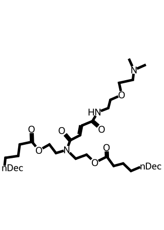 CCCCCCCCCCCCCC(=O)OCCN(CCOC(=O)CCCCCCCCCCCCC)C(=O)C=CC(=O)NCCOCCN(C)C